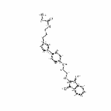 CC(C)(C)OC(=O)NCCC[n+]1ccn(-c2ccc(OCCON3C(=O)c4ccccc4C3=O)cn2)c1